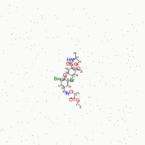 CCOC(=O)C(C)O/N=C\c1cc(Br)c(Oc2ccc(OC)c(S(=O)(=O)NC(C)C)c2)c(Br)c1